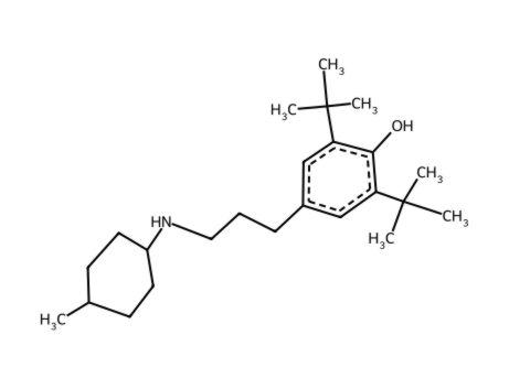 CC1CCC(NCCCc2cc(C(C)(C)C)c(O)c(C(C)(C)C)c2)CC1